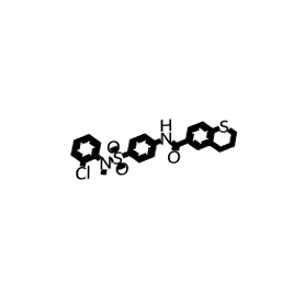 CN(c1ccccc1Cl)S(=O)(=O)c1ccc(NC(=O)c2ccc3c(c2)CCCS3)cc1